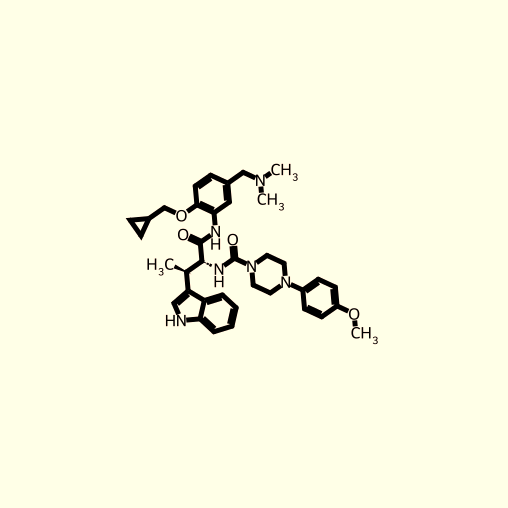 COc1ccc(N2CCN(C(=O)N[C@@H](C(=O)Nc3cc(CN(C)C)ccc3OCC3CC3)[C@H](C)c3c[nH]c4ccccc34)CC2)cc1